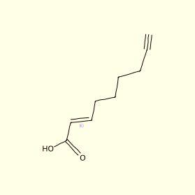 C#CCCCC/C=C/C(=O)O